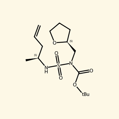 C=CC[C@H](C)NS(=O)(=O)N(C[C@@H]1CCCO1)C(=O)OC(C)(C)C